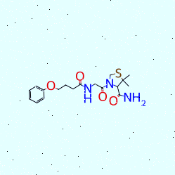 CC1(C)SCN(C(=O)CNC(=O)CCCOc2ccccc2)C1C(N)=O